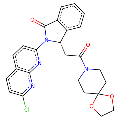 O=C(C[C@H]1c2ccccc2C(=O)N1c1ccc2ccc(Cl)nc2n1)N1CCC2(CC1)OCCO2